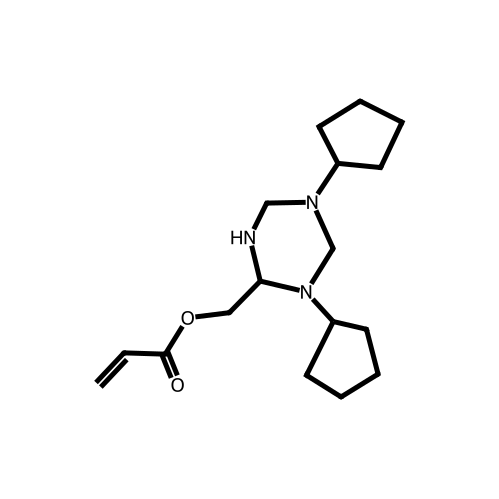 C=CC(=O)OCC1NCN(C2CCCC2)CN1C1CCCC1